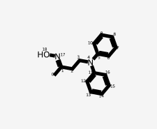 CC(CCN(c1ccccc1)c1ccccc1)=NO